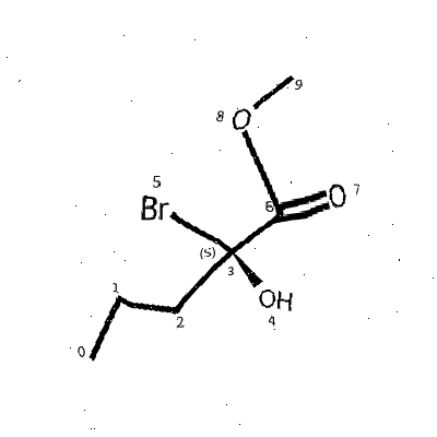 CCC[C@](O)(Br)C(=O)OC